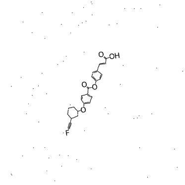 O=C(O)/C=C/c1ccc(OC(=O)c2ccc(OC3CCCC(C#CF)C3)cc2)cc1